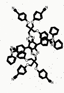 CN(c1ccccc1)c1ccc(-c2c3nn(CC(COc4ccc(C#N)cc4)(COc4ccc(C#N)cc4)COc4ccc(C#N)cc4)nc3c(-c3ccc(N(c4ccccc4)c4ccccc4)cc3)c3n[n+](CC(COc4ccc(C#N)cc4)(COc4ccc(C#N)cc4)COc4ccc(C#N)cc4)[n-]c23)cc1